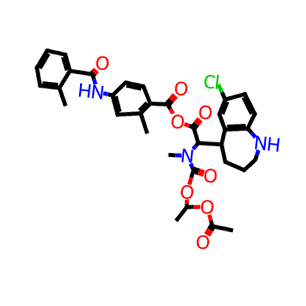 CC(=O)OC(C)OC(=O)N(C)C(C(=O)OC(=O)c1ccc(NC(=O)c2ccccc2C)cc1C)C1CCCNc2ccc(Cl)cc21